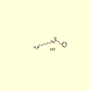 Cl.NCCCCCCOSC(=O)CCc1ccccc1